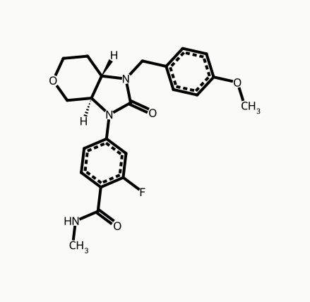 CNC(=O)c1ccc(N2C(=O)N(Cc3ccc(OC)cc3)[C@H]3CCOC[C@@H]32)cc1F